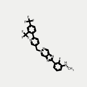 CNc1cccc(-c2nc3cnn(Cc4ccc(-c5ccc(C(F)(F)F)cc5C(F)(F)F)nc4)cc-3n2)c1F